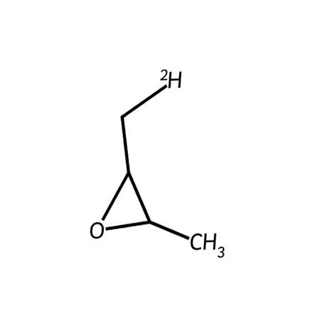 [2H]CC1OC1C